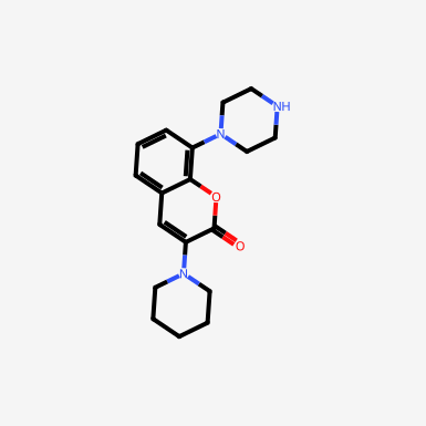 O=c1oc2c(N3CCNCC3)cccc2cc1N1CCCCC1